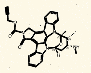 C#CCOC(=O)N1Cc2c(c3c4ccccc4n4c3c3c2c2ccccc2n3[C@@]2(C)O[C@@H]4C[C@@H](NC)[C@H]2C)C1=O